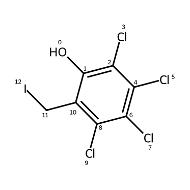 Oc1c(Cl)c(Cl)c(Cl)c(Cl)c1CI